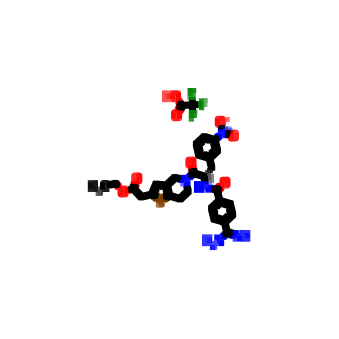 CCOC(=O)Cc1cc2c(s1)CCN(C(=O)[C@H](Cc1cccc([N+](=O)[O-])c1)NC(=O)c1ccc(C(=N)N)cc1)C2.O=C(O)C(F)(F)F